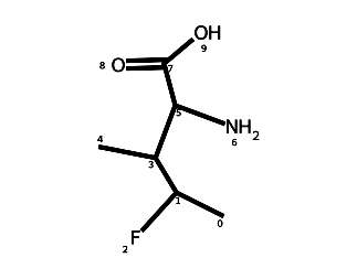 CC(F)C(C)C(N)C(=O)O